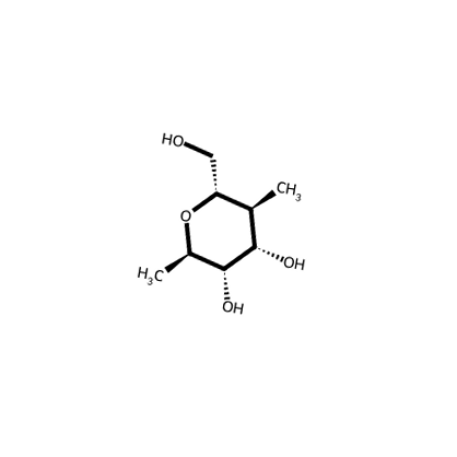 C[C@H]1[C@H](O)[C@H](O)[C@@H](C)O[C@@H]1CO